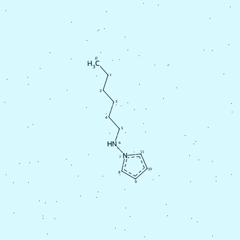 CCCCCCNn1cccc1